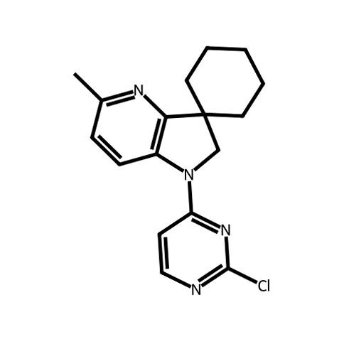 Cc1ccc2c(n1)C1(CCCCC1)CN2c1ccnc(Cl)n1